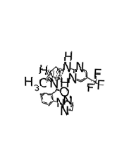 C[C@@H]1[C@H]2C[C@@H](Nc3ncc(C(F)(F)F)cn3)[C@H](C2)N1C(=O)c1ccccc1-n1nccn1